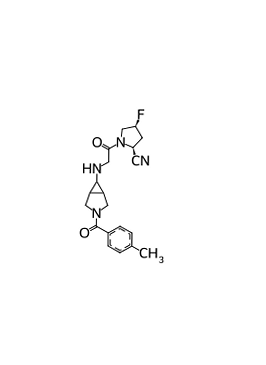 Cc1ccc(C(=O)N2CC3C(C2)C3NCC(=O)N2C[C@@H](F)C[C@H]2C#N)cc1